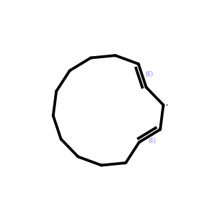 [CH]1/C=C/CCCCCCCCC/C=C/1